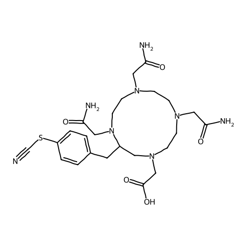 N#CSc1ccc(CC2CN(CC(=O)O)CCN(CC(N)=O)CCN(CC(N)=O)CCN2CC(N)=O)cc1